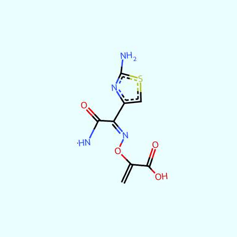 C=C(ON=C(C([NH])=O)c1csc(N)n1)C(=O)O